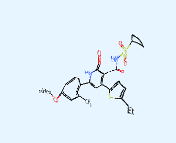 CCCCCCOc1ccc(-c2cc(-c3ccc(CC)s3)c(C(=O)NS(=O)(=O)C3CC3)c(=O)[nH]2)c(C(F)(F)F)c1